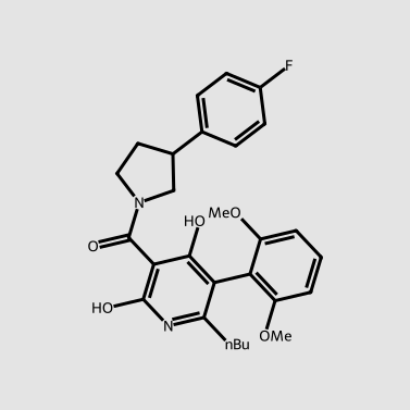 CCCCc1nc(O)c(C(=O)N2CCC(c3ccc(F)cc3)C2)c(O)c1-c1c(OC)cccc1OC